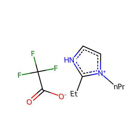 CCC[n+]1cc[nH]c1CC.O=C([O-])C(F)(F)F